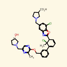 Cc1nc(CN2CC[C@H](O)C2)cnc1OCc1cccc(C2=CC=CC(c3nc4cc(CN5CCC(C(=O)O)C5)cc(Cl)c4o3)C2(C)Cl)c1